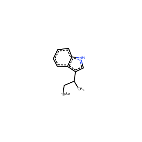 CNCC(C)c1c[nH]c2ccccc12